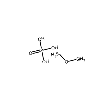 O=P(O)(O)O.[SiH3]O[SiH3]